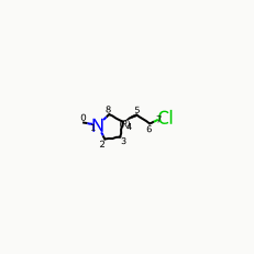 CN1CC[C@H](CCCl)C1